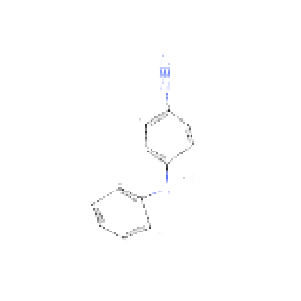 N#[N+]c1ccc(Nc2ccccc2)cc1.[Cl-]